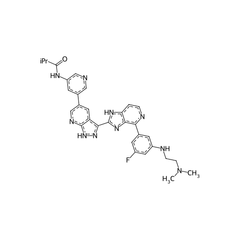 CC(C)C(=O)Nc1cncc(-c2cnc3[nH]nc(-c4nc5c(-c6cc(F)cc(NCCN(C)C)c6)nccc5[nH]4)c3c2)c1